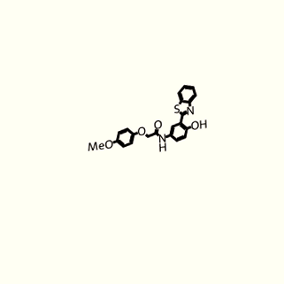 COc1ccc(OCC(=O)Nc2ccc(O)c(-c3nc4ccccc4s3)c2)cc1